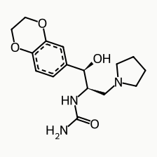 NC(=O)N[C@H](CN1CCCC1)[C@H](O)c1ccc2c(c1)OCCO2